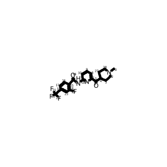 CN1CCC(C(=O)c2cccc(NC(=O)c3ccc(C(F)(F)F)cc3F)n2)CC1